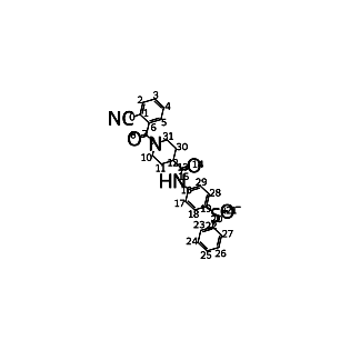 N#Cc1ccccc1C(=O)N1CCC(C(=O)Nc2ccc([S+]([O-])c3ccccc3)cc2)CC1